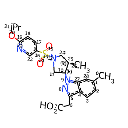 Cc1ccc2c(CC(=O)O)nn([C@H]3CN(S(=O)(=O)c4ccc(OC(C)C)nc4)C[C@H]3C)c2c1